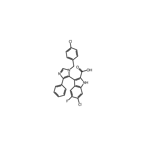 O=C(O)c1[nH]c2cc(Cl)c(F)cc2c1-c1c(-c2ccccc2)ncn1Cc1ccc(Cl)cc1